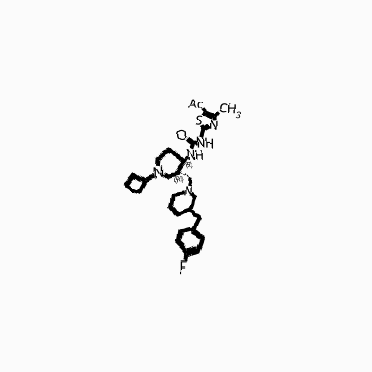 CC(=O)c1sc(NC(=O)N[C@@H]2CCN(C3CCC3)C[C@H]2CN2CCCC(Cc3ccc(F)cc3)C2)nc1C